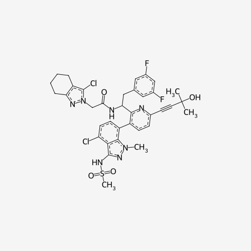 Cn1nc(NS(C)(=O)=O)c2c(Cl)ccc(-c3ccc(C#CC(C)(C)O)nc3C(Cc3cc(F)cc(F)c3)NC(=O)Cn3nc4c(c3Cl)CCCC4)c21